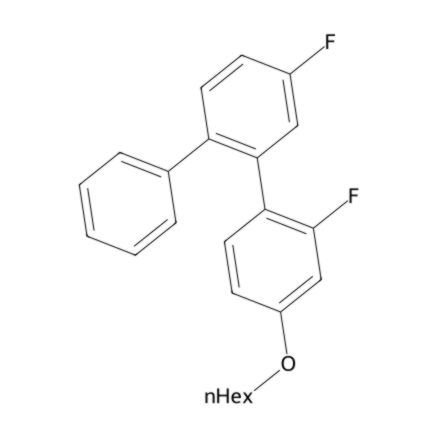 CCCCCCOc1ccc(-c2cc(F)ccc2-c2ccccc2)c(F)c1